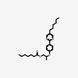 CCCCCCC(=O)OCC(C)Oc1ccc(-c2ncc(CCCCCC)cn2)cc1